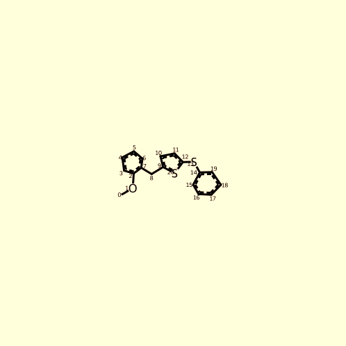 COc1ccccc1Cc1ccc(Sc2ccccc2)s1